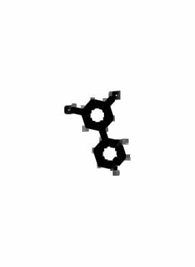 Clc1cc(Cl)cc(-c2ccncn2)c1